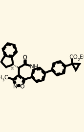 CCOC(=O)C1(c2ccc(-c3ccc(-c4onc(C)c4C(C(N)=O)[C@@H]4CCc5ccccc54)cc3)cc2)CC1